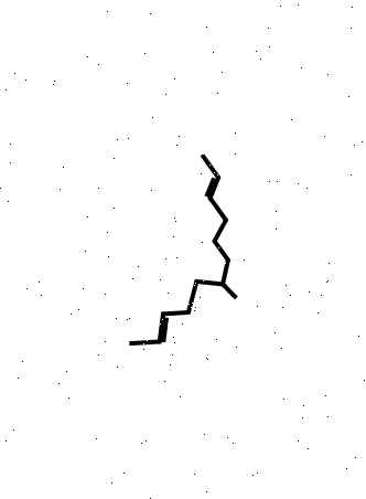 CC=CCCC[C](C)CCC=CC